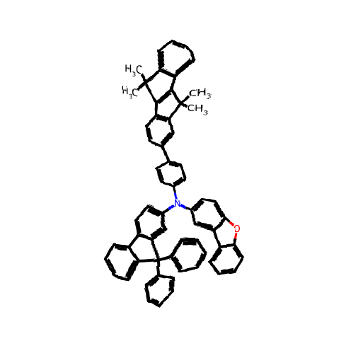 CC1(C)C2=C(c3ccccc31)C(C)(C)c1cc(-c3ccc(N(c4ccc5c(c4)C(c4ccccc4)(c4ccccc4)c4ccccc4-5)c4ccc5oc6ccccc6c5c4)cc3)ccc12